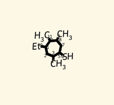 CCC1CC(C)C(S)CC(C)C1C